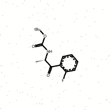 C[C@H](NC(=O)OC(C)(C)C)C(=O)c1ccccc1F